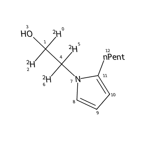 [2H]C([2H])(O)C([2H])([2H])n1cccc1CCCCC